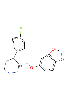 Fc1ccc(C2CCNC[C@H]2COc2ccc3c(c2)OCO3)cc1